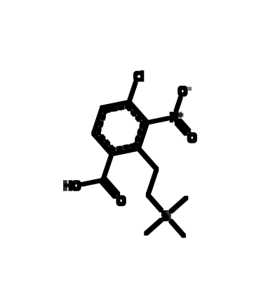 C[Si](C)(C)CCc1c(C(=O)O)ccc(Cl)c1[N+](=O)[O-]